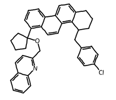 Clc1ccc(CC2CCCc3ccc4c(ccc5c(C6(OCc7ccc8ccccc8n7)CCCC6)cccc54)c32)cc1